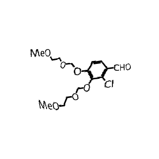 COCCOCOc1ccc(C=O)c(Cl)c1OCOCCOC